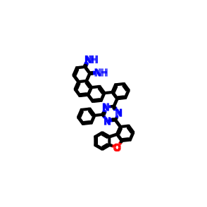 N=C1C=Cc2ccc3ccc(-c4ccccc4-c4nc(-c5ccccc5)nc(-c5cccc6oc7ccccc7c56)n4)cc3c2C1=N